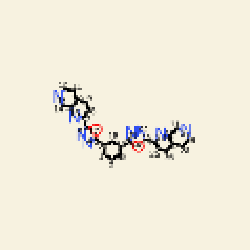 c1cc(-c2nnc(-c3ccc4ccncc4n3)o2)cc(-c2nnc(-c3ccc4ccncc4n3)o2)c1